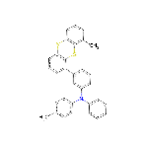 Cc1ccc(N(c2ccccc2)c2cccc(-c3cccc4c3Sc3c(C)cccc3S4)c2)cc1